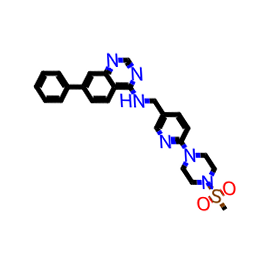 CS(=O)(=O)N1CCN(c2ccc(CNc3ncnc4cc(-c5ccccc5)ccc34)cn2)CC1